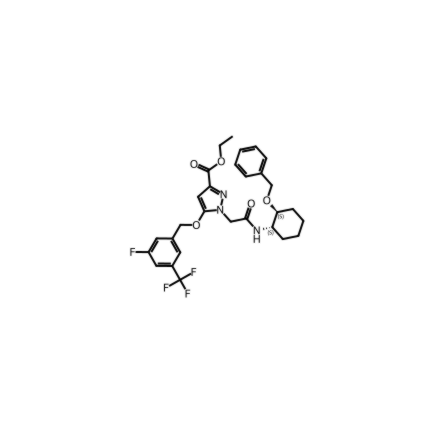 CCOC(=O)c1cc(OCc2cc(F)cc(C(F)(F)F)c2)n(CC(=O)N[C@H]2CCCC[C@@H]2OCc2ccccc2)n1